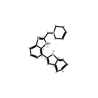 C1=CCN(Cc2nc3cccc(-c4cc5ccccc5s4)c3[nH]2)CC1